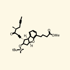 CC#CC[C@H](C)C(=O)C#C[C@H]1C(O[Si](C)(C)C(C)(C)C)C[C@@H]2Oc3c(CCCC(=O)OC)cccc3[C@@H]21